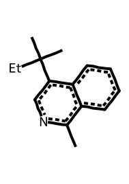 CCC(C)(C)c1cnc(C)c2ccccc12